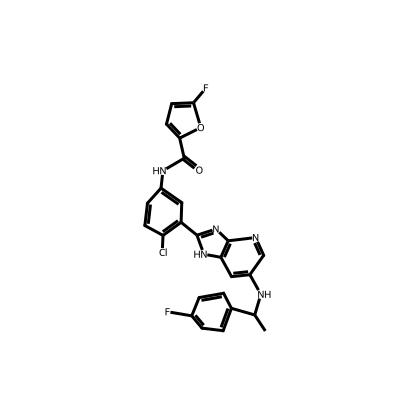 CC(Nc1cnc2nc(-c3cc(NC(=O)c4ccc(F)o4)ccc3Cl)[nH]c2c1)c1ccc(F)cc1